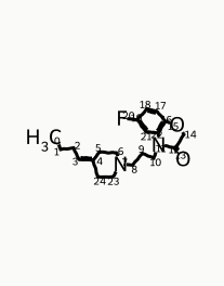 CCCC=C1CCN(CCCN2C(=O)COc3ccc(F)cc32)CC1